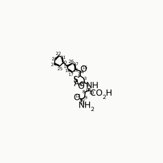 CC(=O)SC(CC(=O)N[C@@H](CCC(N)=O)C(=O)O)C(=O)c1ccc(-c2ccccc2)cc1